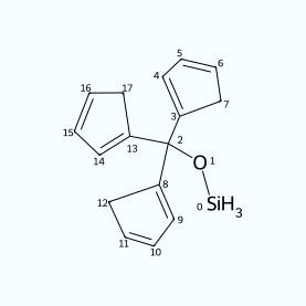 [SiH3]OC(C1=CC=CC1)(C1=CC=CC1)C1=CC=CC1